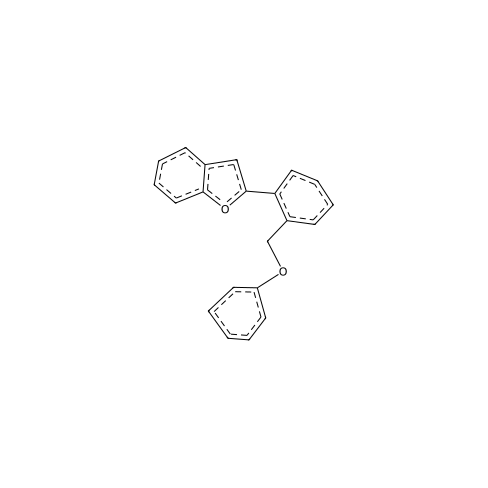 c1ccc(OCc2ccccc2-c2cc3ccccc3o2)cc1